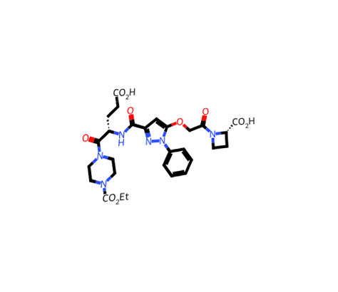 CCOC(=O)N1CCN(C(=O)[C@H](CCC(=O)O)NC(=O)c2cc(OCC(=O)N3CC[C@H]3C(=O)O)n(-c3ccccc3)n2)CC1